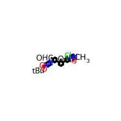 COc1c(-c2ccc(N3CCN(C)C3=O)c(Cl)c2)cccc1-c1ccc(C=O)c(N2CCN(C(=O)OC(C)(C)C)CC2)c1